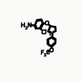 Nc1ccc(OC2CCN(c3ccc(OC(F)(F)F)cc3)C2)c(Cl)c1